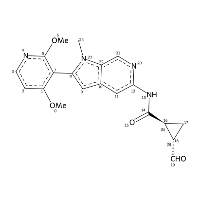 COc1ccnc(OC)c1-c1cc2cc(NC(=O)[C@H]3C[C@@H]3C=O)ncc2n1C